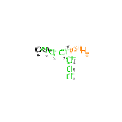 [Cl-].[Cl-].[Cl-].[Cl-].[Cl-].[Cl-].[Ga+3].[PH6+3]